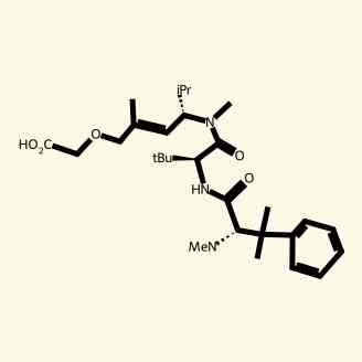 CN[C@H](C(=O)N[C@H](C(=O)N(C)[C@H](/C=C(\C)COCC(=O)O)C(C)C)C(C)(C)C)C(C)(C)c1ccccc1